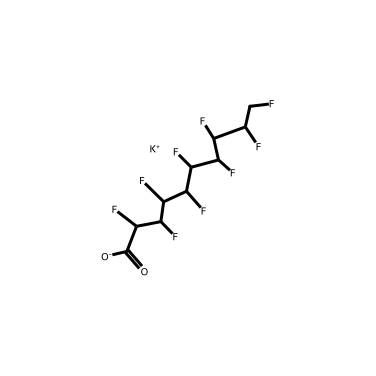 O=C([O-])C(F)C(F)C(F)C(F)C(F)C(F)C(F)C(F)CF.[K+]